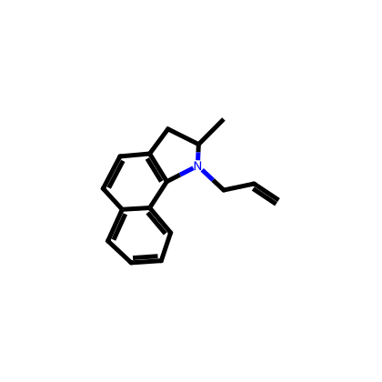 C=CCN1c2c(ccc3ccccc23)CC1C